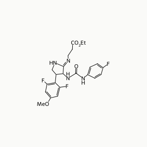 CCOC(=O)CC/N=C1\NCC(c2c(F)cc(OC)cc2F)C1NC(=O)Nc1ccc(F)cc1